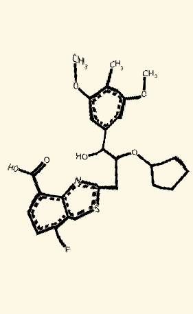 COc1cc(C(O)C(Cc2nc3c(C(=O)O)ccc(F)c3s2)OC2CCCC2)cc(OC)c1C